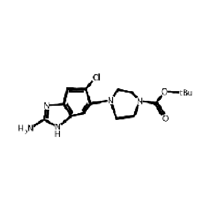 CC(C)(C)OC(=O)N1CCN(c2cc3[nH]c(N)nc3cc2Cl)CC1